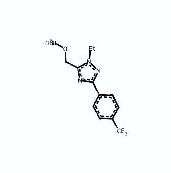 CCCCOCc1nc(-c2ccc(C(F)(F)F)cc2)nn1CC